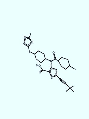 Cc1nnc(SC2CCC(N(C(=O)C3CCC(C)CC3)c3cc(C#CC(C)(C)C)sc3C(=O)O)CC2)o1